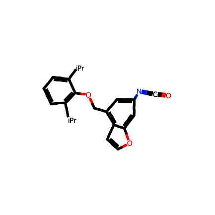 CC(C)c1cccc(C(C)C)c1OCc1cc(N=C=O)cc2occc12